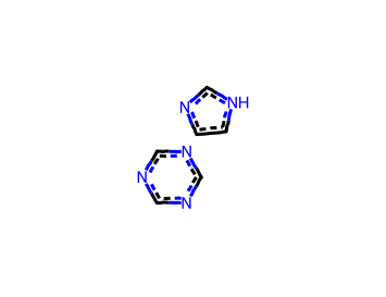 c1c[nH]cn1.c1ncncn1